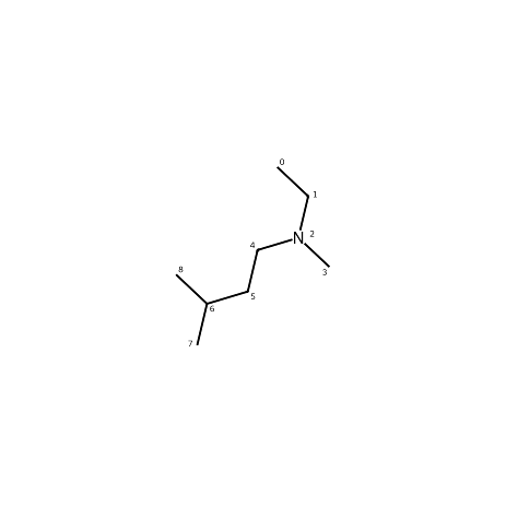 CCN(C)CCC(C)C